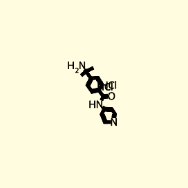 CC(C)(N)c1ccc(C(=O)Nc2ccncc2)cc1.Cl.Cl